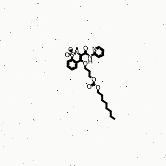 CCCCCCCCOC(=O)OCCCOC1=C(C(=O)Nc2ccccn2)N(C)S(=O)(=O)c2ccccc21